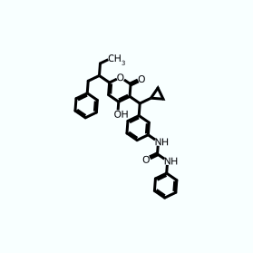 CCC(Cc1ccccc1)c1cc(O)c(C(c2cccc(NC(=O)Nc3ccccc3)c2)C2CC2)c(=O)o1